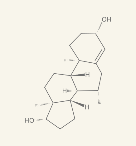 C[C@H]1CC2=C[C@@H](O)CC[C@]2(C)[C@H]2CC[C@]3(C)[C@@H](O)CC[C@H]3[C@H]12